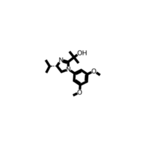 COc1cc(OC)cc(N2C[C@H](C(C)C)N=C2C(C)(C)O)c1